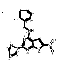 O=[N+]([O-])c1cc2c(NCc3ccccc3)nc(-n3cncn3)nc2s1